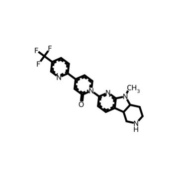 CN1c2nc(-n3ccc(-c4ccc(C(F)(F)F)cn4)cc3=O)ccc2C2CNCCC21